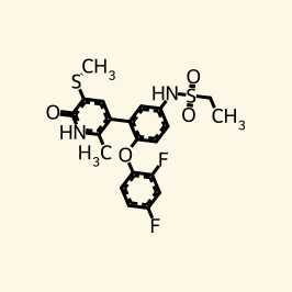 CCS(=O)(=O)Nc1ccc(Oc2ccc(F)cc2F)c(-c2cc(SC)c(=O)[nH]c2C)c1